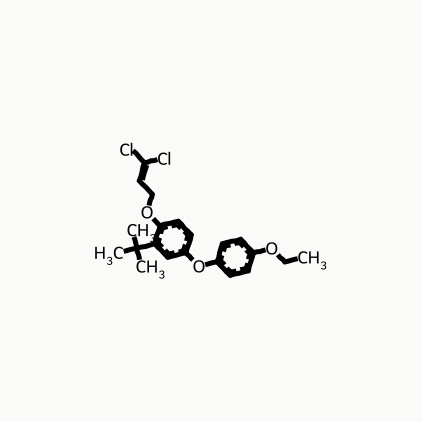 CCOc1ccc(Oc2ccc(OCC=C(Cl)Cl)c(C(C)(C)C)c2)cc1